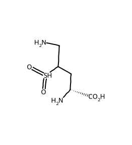 NCC(C[C@@H](N)C(=O)O)[SH](=O)=O